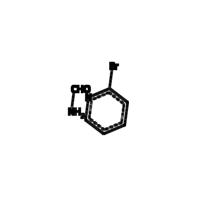 Brc1ccccn1.NC=O